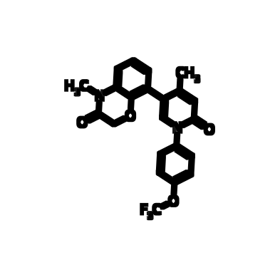 Cc1cc(=O)n(-c2ccc(OC(F)(F)F)cc2)cc1-c1cccc2c1OCC(=O)N2C